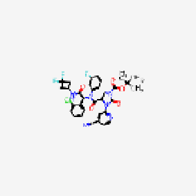 CC(C)(C)OC(=O)N1CC(C(=O)N(c2cccc(F)c2)[C@H](C(=O)NC2CC(F)(F)C2)c2ccccc2Cl)N(c2cc(C#N)ccn2)C1=O